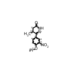 CC(C)Oc1ccc(C2=NNC(=O)CC2C)cc1[N+](=O)[O-]